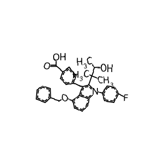 CC(O)C(C)(C)c1c(-c2ccc(C(=O)O)cc2)c2c(OCc3ccccc3)cccc2n1-c1ccc(F)cc1